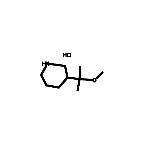 COC(C)(C)C1CCCNC1.Cl